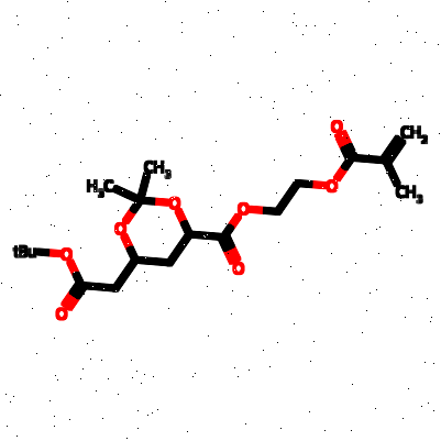 C=C(C)C(=O)OCCOC(=O)C1CC(CC(=O)OC(C)(C)C)OC(C)(C)O1